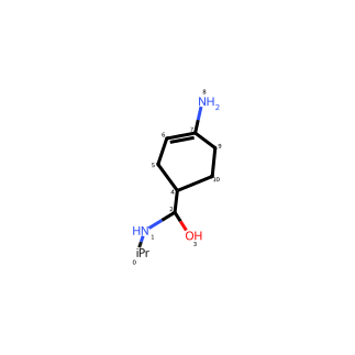 CC(C)NC(O)C1CC=C(N)CC1